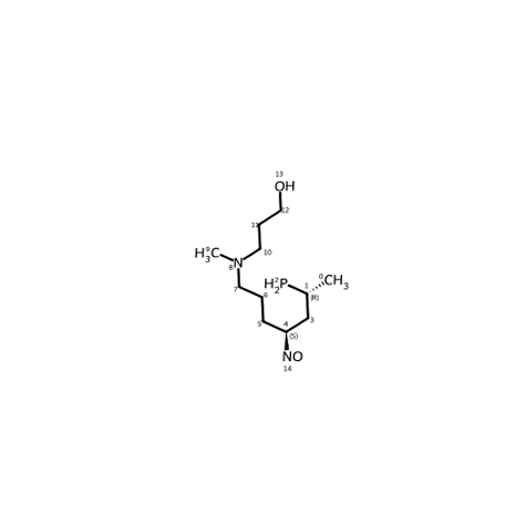 C[C@@H](P)C[C@H](CCCN(C)CCCO)N=O